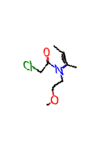 CC=C(C)N(CCOC)C(=O)CCl